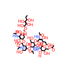 CCC(O)/C(O)=C(\O)C(O)OCOCCC(OC(O)C(NC(C)=O)C(O)C(CCO)OC1OC(CO)C(OC(O)/C(NC(C)=O)=C(/O)C(CCO)OC2OC(COC(C)=O)C(O)C(O)C2NC)C(O)C1NC(C)=O)/C(O)=C(/NC(C)=O)C(O)O